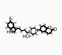 Cl.O=c1ccc2cc(N3CCN(CCCCc4c[nH]c5ccc(F)cc45)CC3)ccc2o1